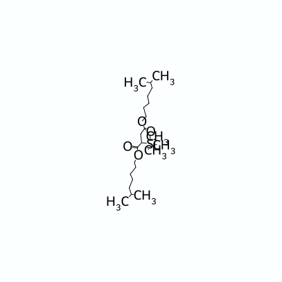 CC(C)CCCCCOC(=O)CC(C(=O)OCCCCCC(C)C)[Si](C)(C)C